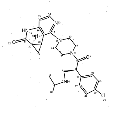 CC(C)NC[C@@H](C(=O)N1CCN(c2ncnc3c2C2C[C@H]2C(=O)N3)CC1)c1ccc(Cl)cc1